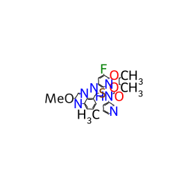 COc1cnc2c(-c3nc4cc(F)c(O[C@@H](C)[C@@H](C)OC(=O)Nc5cccnc5)nc4s3)cc(C)cc2n1